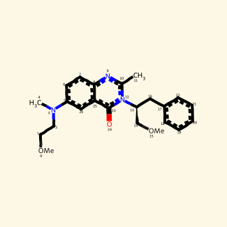 COCCN(C)c1ccc2nc(C)n([C@H](COC)Cc3ccccc3)c(=O)c2c1